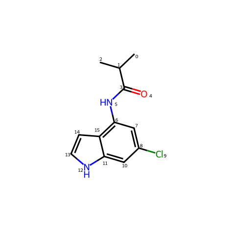 CC(C)C(=O)Nc1cc(Cl)cc2[nH]ccc12